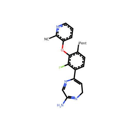 CCCC(C)c1ccc(C2=CCN=C(N)C=N2)c(F)c1Oc1cccnc1C#N